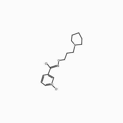 [O-][n+]1cccc(C(Cl)=NOCCCN2CCCCC2)c1